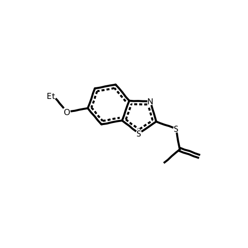 C=C(C)Sc1nc2ccc(OCC)cc2s1